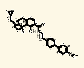 [C-]#[N+]c1ccc(-c2ccc(CCNC(=O)c3ccc4c(c3O)C3(C)CCN(CC5CC5)C(C4)C3C)cc2)cc1